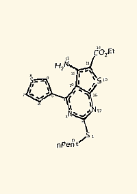 CCCCCSc1nc(-c2ccsc2)c2c(N)c(C(=O)OCC)sc2n1